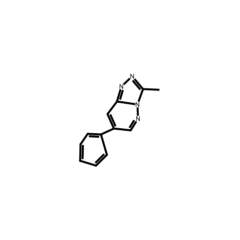 Cc1nnc2cc(-c3ccccc3)cnn12